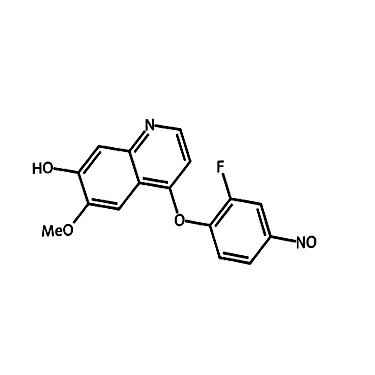 COc1cc2c(Oc3ccc(N=O)cc3F)ccnc2cc1O